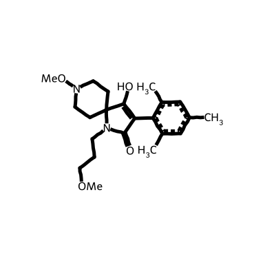 COCCCN1C(=O)C(c2c(C)cc(C)cc2C)=C(O)C12CCN(OC)CC2